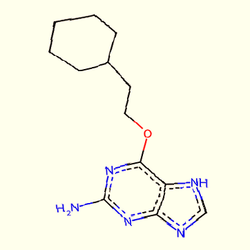 Nc1nc(OCCC2CCCCC2)c2[nH]cnc2n1